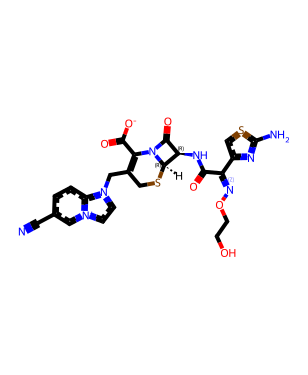 N#Cc1ccc2n(CC3=C(C(=O)[O-])N4C(=O)[C@@H](NC(=O)/C(=N\OCCO)c5csc(N)n5)[C@H]4SC3)cc[n+]2c1